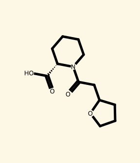 O=C(O)[C@@H]1CCCCN1C(=O)CC1CCCO1